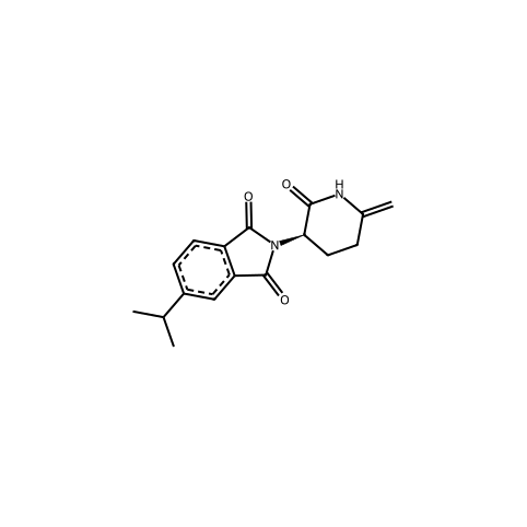 C=C1CC[C@@H](N2C(=O)c3ccc(C(C)C)cc3C2=O)C(=O)N1